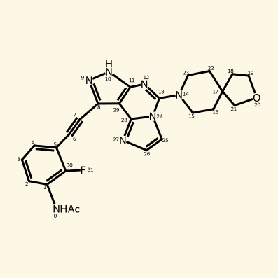 CC(=O)Nc1cccc(C#Cc2n[nH]c3nc(N4CCC5(CCOC5)CC4)n4ccnc4c23)c1F